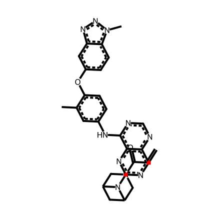 C=CC(=O)N1CC2CC(C1)N2c1ncc2ncnc(Nc3ccc(Oc4ccc5c(c4)nnn5C)c(C)c3)c2n1